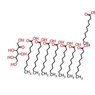 CCCCCCCCCC(=O)O.CCCCCCCCCC(=O)O.CCCCCCCCCC(=O)O.CCCCCCCCCC(=O)O.CCCCCCCCCC(=O)O.CCCCCCCCCC(=O)O.CCCCCCCCCC(=O)O.CCCCCCCCCC(=O)O.O=C(CO)[C@H](O)[C@@H](O)[C@H](O)CO